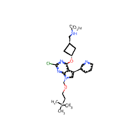 C[Si](C)(C)CCOCn1cc(-c2cccnc2)c2c(O[C@H]3C[C@H](CNC(=O)O)C3)nc(Cl)nc21